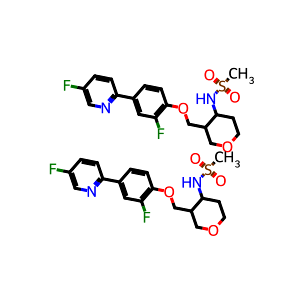 CS(=O)(=O)NC1CCOCC1COc1ccc(-c2ccc(F)cn2)cc1F.CS(=O)(=O)NC1CCOCC1COc1ccc(-c2ccc(F)cn2)cc1F